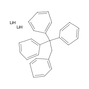 [LiH].[LiH].c1ccc(CC(c2ccccc2)(c2ccccc2)c2ccccc2)cc1